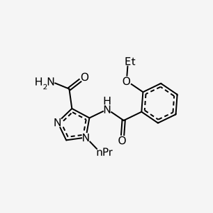 CCCn1cnc(C(N)=O)c1NC(=O)c1ccccc1OCC